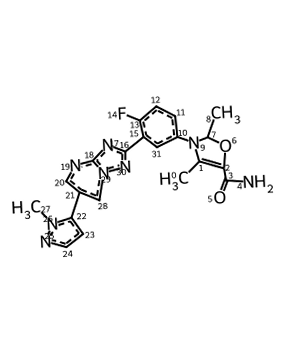 CC1=C(C(N)=O)OC(C)N1c1ccc(F)c(-c2nc3ncc(-c4ccnn4C)cn3n2)c1